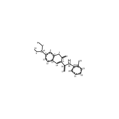 C=C1Cc2cc(N(CC)CC)ccc2C=C1C(=C)Nc1ccccc1C